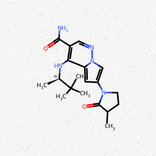 CC1CCN(c2cc3c(N[C@H](C)C(C)(C)C)c(C(N)=O)cnn3c2)C1=O